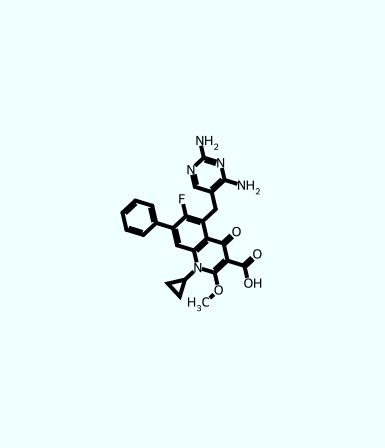 COc1c(C(=O)O)c(=O)c2c(Cc3cnc(N)nc3N)c(F)c(-c3ccccc3)cc2n1C1CC1